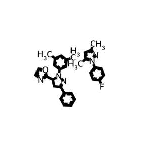 Cc1cc(C)cc(N2N=C(c3ccccc3)CC2c2ncco2)c1.Cc1cc(C)n(-c2ccc(F)cc2)n1